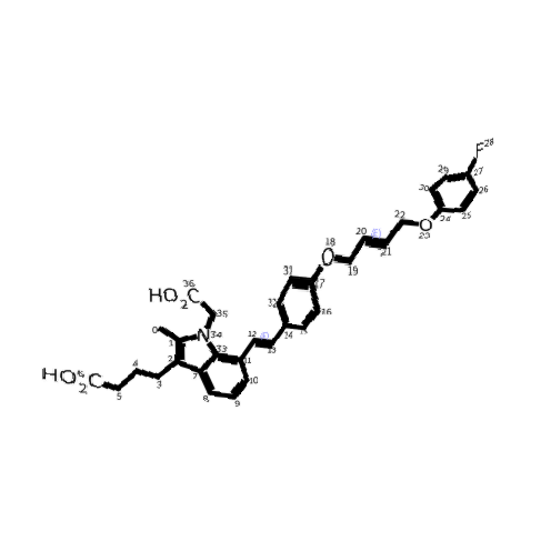 Cc1c(CCCC(=O)O)c2cccc(/C=C/c3ccc(OC/C=C/COc4ccc(F)cc4)cc3)c2n1CC(=O)O